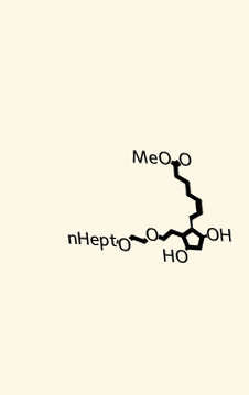 CCCCCCCOCCOCCC1[C@H](O)C[C@H](O)[C@@H]1C/C=C\CCCC(=O)OC